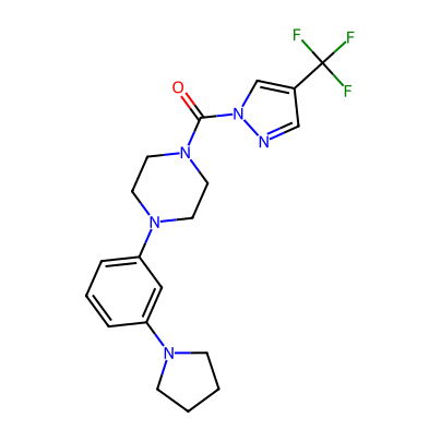 O=C(N1CCN(c2cccc(N3CCCC3)c2)CC1)n1cc(C(F)(F)F)cn1